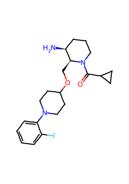 N[C@H]1CCCN(C(=O)C2CC2)[C@H]1COC1CCN(c2ccccc2F)CC1